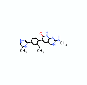 CCc1cc(-c2cncc(C)n2)ccc1-c1cc2cnc(NC)nc2[nH]c1=O